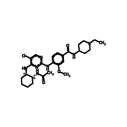 CCN1CCC(NC(=O)c2ccc(Nc3ncc(Cl)c(N[C@@H]4CCCC[C@H]4NC(C)=O)n3)c(OC)c2)CC1